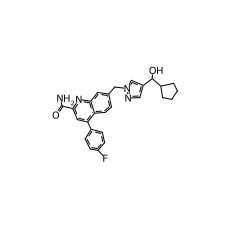 NC(=O)c1cc(-c2ccc(F)cc2)c2ccc(Cn3cc(C(O)C4CCCC4)cn3)cc2n1